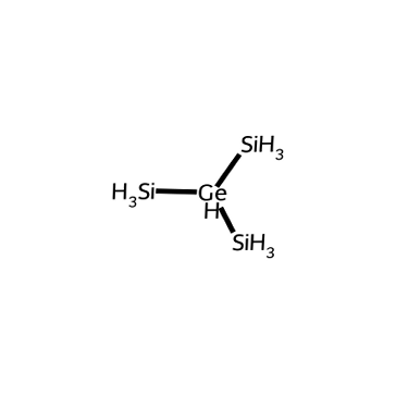 [SiH3][GeH]([SiH3])[SiH3]